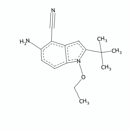 CCOn1c(C(C)(C)C)cc2c(C#N)c(N)ccc21